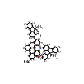 CC(C)(C)c1cc(-c2cccc3cccc(-c4ccccc4N(c4ccc(-c5ccc6c(c5)C(C)(C)c5ccccc5-6)cc4)c4ccc5c(c4)C(C)(c4ccccc4)c4ccccc4-5)c23)cc(C(C)(C)C)c1